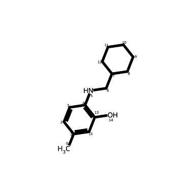 Cc1ccc(NCC2CCCCC2)c(O)c1